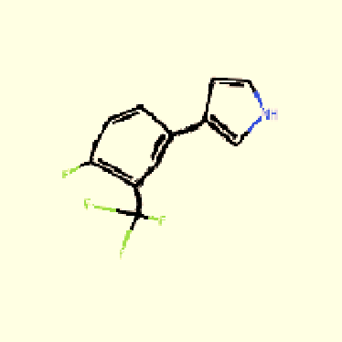 Fc1ccc(-c2cc[nH]c2)cc1C(F)(F)F